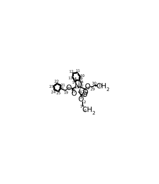 C=CCOC(=O)C[C@](Cc1ccccc1)(NC(=O)OCc1ccccc1)C(=O)OCC=C